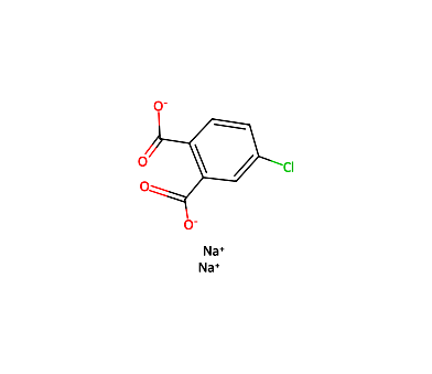 O=C([O-])c1ccc(Cl)cc1C(=O)[O-].[Na+].[Na+]